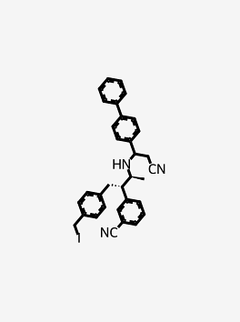 C[C@H](NC(CC#N)c1ccc(-c2ccccc2)cc1)[C@@H](Cc1ccc(CI)cc1)c1cccc(C#N)c1